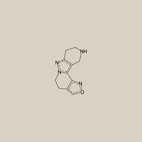 c1onc2c1CCn1nc3c(c1-2)CNCC3